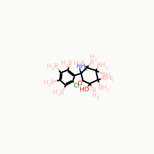 Bc1c(B)c(B)c(C2(N)C(=O)C(B)(O)C(B)(B)C(B)(B)C2(B)B)c(Cl)c1B